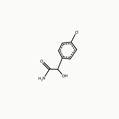 NC(=O)C(O)c1ccc(Cl)cc1